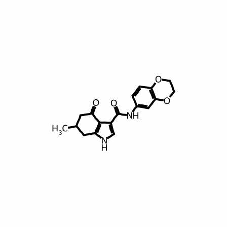 CC1CC(=O)c2c(C(=O)Nc3ccc4c(c3)OCCO4)c[nH]c2C1